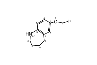 ICOc1ccc2c(c1)CCCCN2